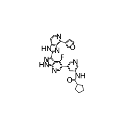 O=C(Nc1cncc(-c2cnc3[nH]nc(-c4nc5c(-c6ccoc6)nccc5[nH]4)c3c2F)c1)C1CCCC1